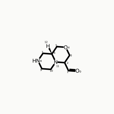 O=CC1COC[C@H]2CNCCN12